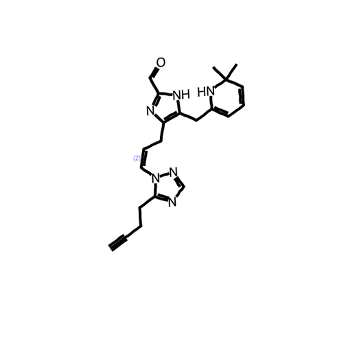 C#CCCc1ncnn1/C=C\Cc1nc(C=O)[nH]c1CC1=CC=CC(C)(C)N1